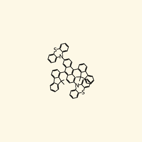 CC1(C)c2ccccc2-c2cccc(-c3c4ccc(N5c6ccccc6Sc6ccccc65)cc4c(-c4cccc5c4C(C)(C)c4ccccc4-5)c4ccc(N5c6ccccc6Sc6ccccc65)cc34)c21